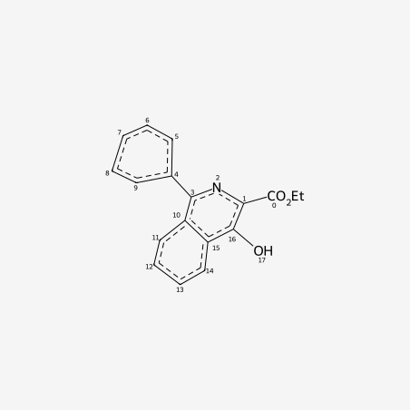 CCOC(=O)c1nc(-c2ccccc2)c2ccccc2c1O